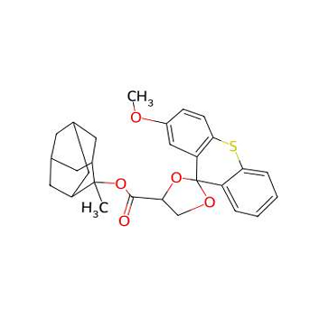 COc1ccc2c(c1)C1(OCC(C(=O)OC3(C)C4CC5CC(C4)CC3C5)O1)c1ccccc1S2